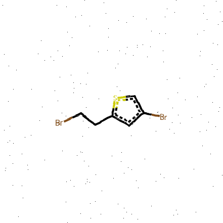 BrCCc1cc(Br)cs1